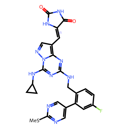 CSc1ncc(-c2cc(F)ccc2CNc2nc(NC3CC3)n3ncc(/C=C4\NC(=O)NC4=O)c3n2)cn1